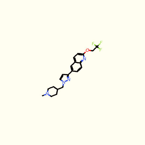 CN1CCC(Cn2ccc(-c3ccc4nc(OCC(F)(F)F)ccc4c3)n2)CC1